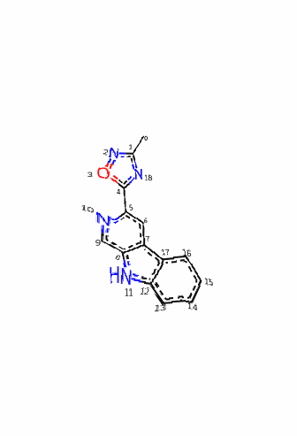 Cc1noc(-c2cc3c(cn2)[nH]c2ccccc23)n1